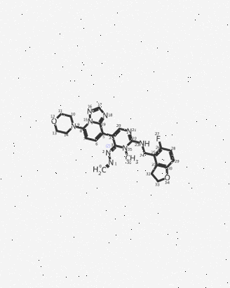 C=N/N=c1/c(-c2ccc(N3CCOCC3)n3ncnc23)cnc(NCc2c(F)ccc3c2CCO3)n1C